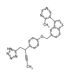 CC#CC(Cc1nnn[nH]1)c1ccc(OCc2ccc3scc(-c4cncnc4C)c3c2)cc1